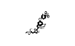 CCOC(=O)CC1CN=C(c2cc3cc(Oc4ccc(S(C)(=O)=O)nc4)cc(OC)c3[nH]2)S1